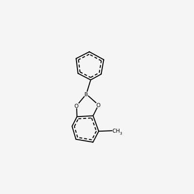 Cc1cccc2c1OB(c1ccccc1)O2